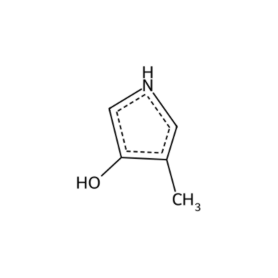 Cc1c[nH]cc1O